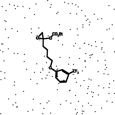 CCOC(=O)OC1(CCCCOc2cccc(C(F)(F)F)c2)CO1